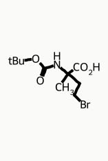 CC(C)(C)OC(=O)NC(C)(CCBr)C(=O)O